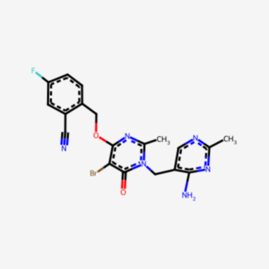 Cc1ncc(Cn2c(C)nc(OCc3ccc(F)cc3C#N)c(Br)c2=O)c(N)n1